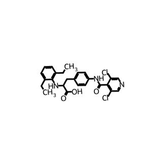 CCc1cccc(CC)c1NC(Cc1ccc(NC(=O)c2c(Cl)cncc2Cl)cc1)C(=O)O